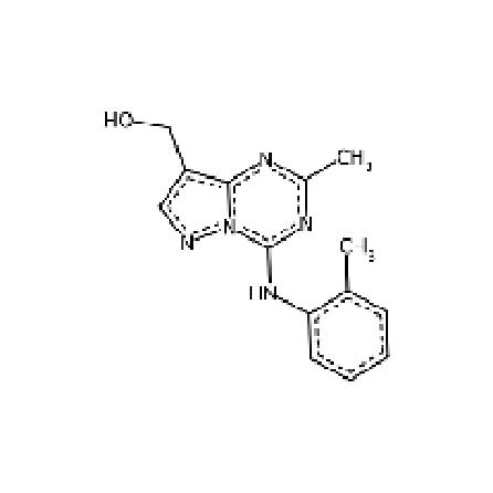 Cc1nc(Nc2ccccc2C)n2ncc(CO)c2n1